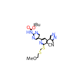 COCCSCSc1nc(-c2cnc(NC(=O)OC(C)(C)C)nc2)cc(-c2cn(C)nc2C)c1C#N